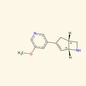 COc1cncc(C2=C[C@H]3NC[C@H]3C2)c1